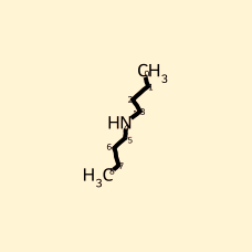 CCC[CH]NCCCC